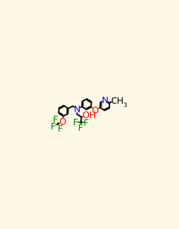 Cc1ccc(Oc2cccc(N(Cc3cccc(OC(F)(F)F)c3)CC(O)C(F)(F)F)c2)cn1